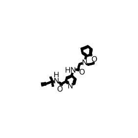 C#CC(C)(C)NC(=O)c1cc(NC(=O)CN2CCOc3ccccc32)ccn1